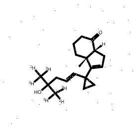 [2H]C([2H])([2H])C(O)(CC=CC1(C2=CC[C@H]3C(=O)CCC[C@@]23C)CC1)C([2H])([2H])[2H]